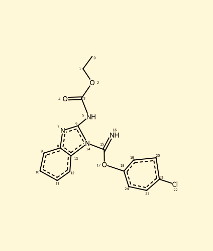 CCOC(=O)Nc1nc2ccccc2n1C(=N)Oc1ccc(Cl)cc1